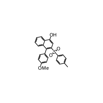 COc1ccc(-c2c(S(=O)(=O)c3ccc(C)cc3)cc(O)c3ccccc23)cc1